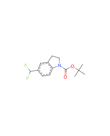 CC(C)(C)OC(=O)N1CCc2cc(C(F)F)ccc21